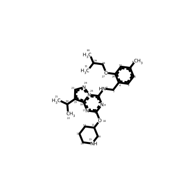 Cc1ccc(CNc2nc(OC3CCCNC3)nc3c(C(C)C)cnn23)c(OCC(C)C)c1